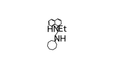 CCC1(NCCNC2CCCCCCC2)CC=Cc2ccccc21